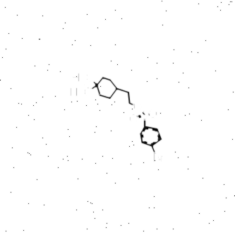 CC1(C)CCC(CCOS(=O)(=O)c2ccc(Br)cc2)CC1